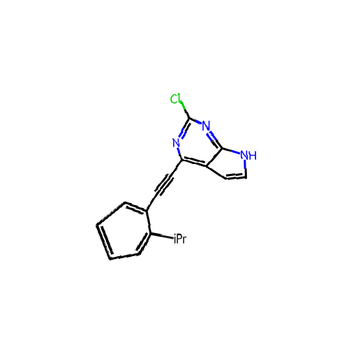 CC(C)c1ccccc1C#Cc1nc(Cl)nc2[nH]ccc12